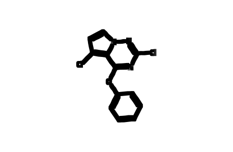 Clc1nc(Oc2ccccc2)c2c(Cl)ccn2n1